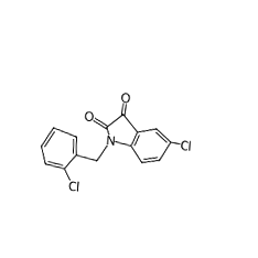 O=C1C(=O)N(Cc2ccccc2Cl)c2ccc(Cl)cc21